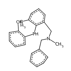 Cc1cccc(CN(C)Cc2ccccc2)c1Pc1ccccc1O